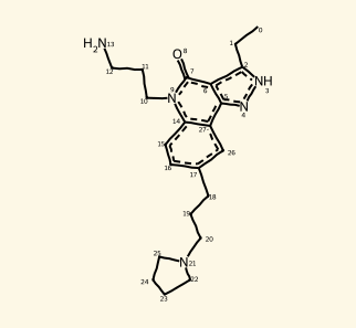 CCc1[nH]nc2c1c(=O)n(CCCN)c1ccc(CCCN3CCCC3)cc21